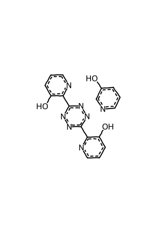 Oc1cccnc1.Oc1cccnc1-c1nnc(-c2ncccc2O)nn1